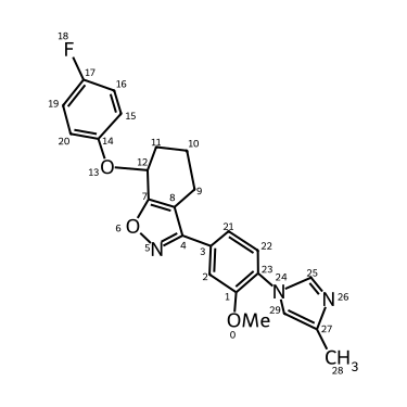 COc1cc(-c2noc3c2CCCC3Oc2ccc(F)cc2)ccc1-n1cnc(C)c1